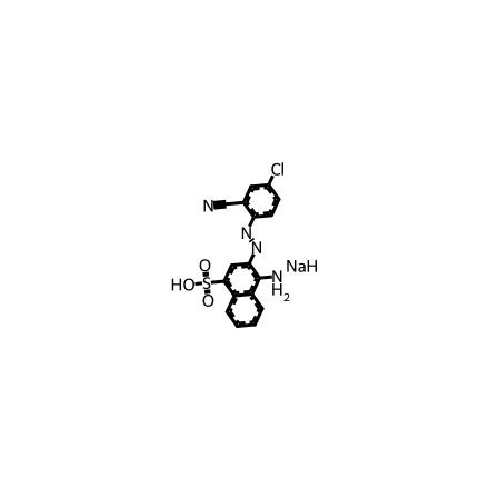 N#Cc1cc(Cl)ccc1/N=N/c1cc(S(=O)(=O)O)c2ccccc2c1N.[NaH]